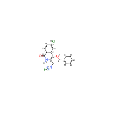 Cl.Cn1c(CN)c(OCc2ccccc2)c2cc(Cl)ccc2c1=O